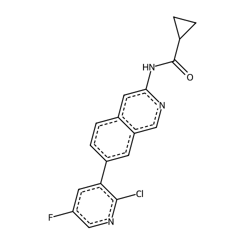 O=C(Nc1cc2ccc(-c3cc(F)cnc3Cl)cc2cn1)C1CC1